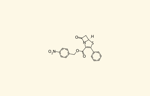 O=C(OCc1ccc([N+](=O)[O-])cc1)C1=C(c2ccccc2)S[C@@H]2CC(=O)N12